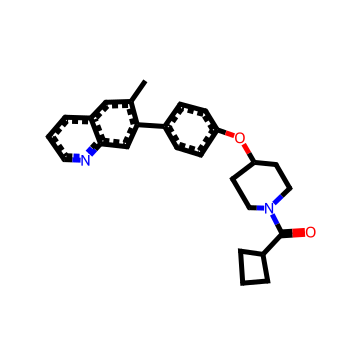 Cc1cc2cccnc2cc1-c1ccc(OC2CCN(C(=O)C3CCC3)CC2)cc1